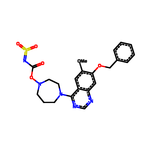 COc1cc2c(N3CCCN(OC(=O)N=S(=O)=O)CC3)ncnc2cc1OCc1ccccc1